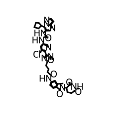 O=C1CCC(N2Cc3cc(NC(=O)CCCc4nc(-c5ncc(NC(=O)Nc6cnc7ccnn7c6C6CCCC6)cc5Cl)no4)ccc3C2=O)C(=O)N1